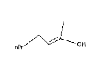 CCCCC=C(O)I